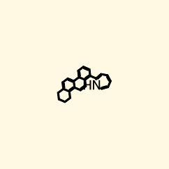 C1=CC=C(c2cccc3c2ccc2c4c(ccc23)CCCC4)NC=C1